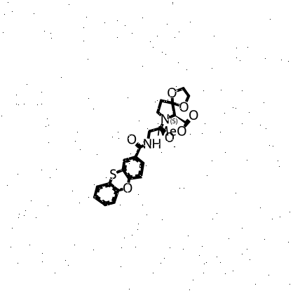 COC(=O)[C@H]1N(C(=O)CNC(=O)c2ccc3c(c2)Sc2ccccc2O3)CCC12OCCO2